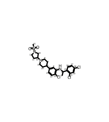 CC(Nc1cc(C2CCN(C3CCN(S(C)(=O)=O)C3)CC2)ccc1Cl)c1ccc(Cl)cc1Cl